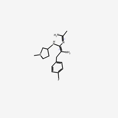 C/C(N)=N/C(NC1CCN(C)C1)=C(\N)Cc1ccc(F)cc1